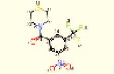 O=C(c1cc([N+](=O)[O-])cc(C(F)(F)F)c1)N1CCSCC1